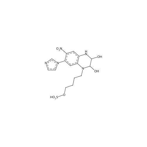 O=[N+]([O-])c1cc2c(cc1-n1ccnc1)N(CCCCOS(=O)(=O)O)C(O)C(O)N2